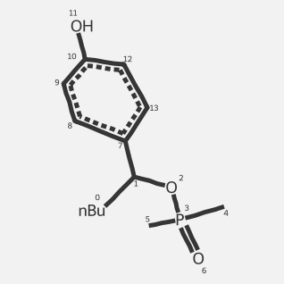 CCCCC(OP(C)(C)=O)c1ccc(O)cc1